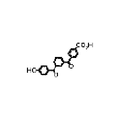 O=C(O)c1ccc(C(=O)c2cccc(C(=O)c3ccc(O)cc3)c2)cc1